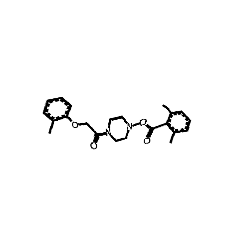 Cc1ccccc1OCC(=O)N1CCN(OC(=O)c2c(C)cccc2C)CC1